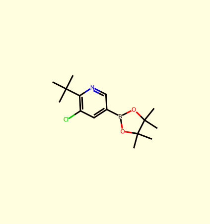 CC(C)(C)c1ncc(B2OC(C)(C)C(C)(C)O2)cc1Cl